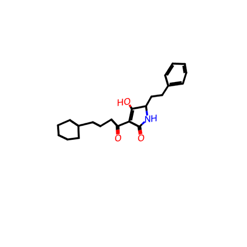 O=C(CCCC1CCCCC1)C1=C(O)C(CCc2ccccc2)NC1=O